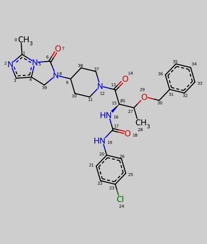 Cc1ncc2n1C(=O)N(C1CCN(C(=O)[C@H](NC(=O)Nc3ccc(Cl)cc3)C(C)OCc3ccccc3)CC1)C2